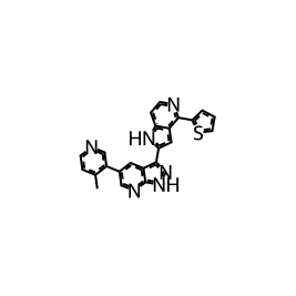 Cc1ccncc1-c1cnc2[nH]nc(-c3cc4c(-c5cccs5)nccc4[nH]3)c2c1